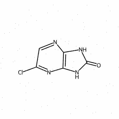 O=c1[nH]c2ncc(Cl)nc2[nH]1